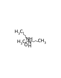 CCCCCNC(NCCCCC)C(C)=O